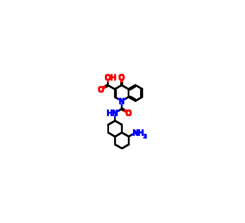 NC1CCCC2CCC(NC(=O)n3cc(C(=O)O)c(=O)c4ccccc43)CC12